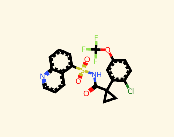 O=C(NS(=O)(=O)c1cccc2ncccc12)C1(c2cc(OC(F)(F)F)ccc2Cl)CC1